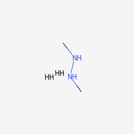 CNNC.[HH].[HH]